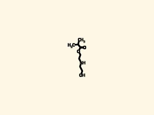 CC(C)C(=O)OCCNCCO